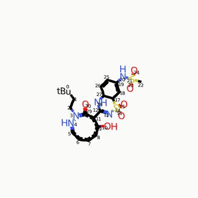 CC(C)(C)CCn1[nH]ccccc(O)c(C2=NS(=O)(=O)C3C=C(NS(C)(=O)=O)C=CC3N2)c1=O